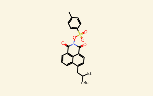 CCCCC(CC)Cc1ccc2c3c(cccc13)C(=O)N(OS(=O)(=O)c1ccc(C)cc1)C2=O